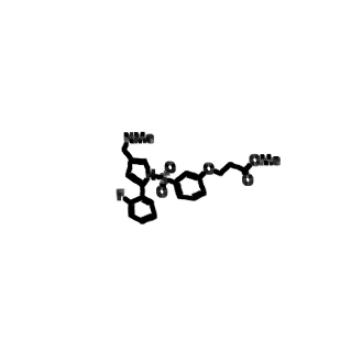 CNCc1cc(-c2ccccc2F)n(S(=O)(=O)c2cccc(OCCC(=O)OC)c2)c1